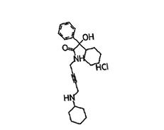 Cl.O=C(NCC#CCNC1CCCCC1)C(O)(c1ccccc1)C1CCCCC1